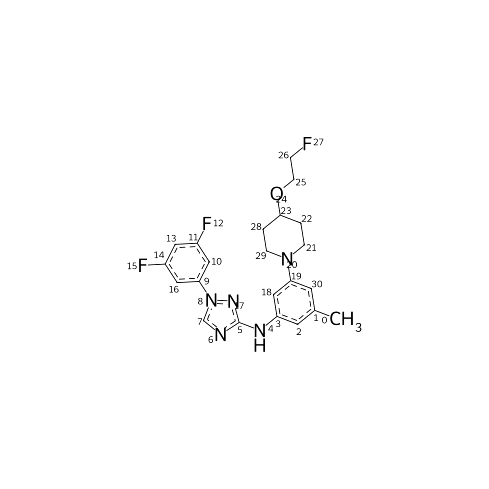 Cc1cc(Nc2ncn(-c3cc(F)cc(F)c3)n2)cc(N2CCC(OCCF)CC2)c1